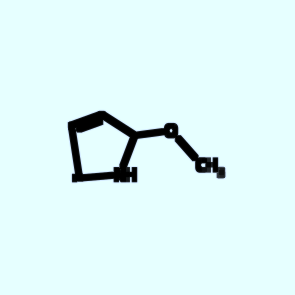 COC1C=C[C]N1